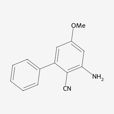 COc1cc(N)c(C#N)c(-c2ccccc2)c1